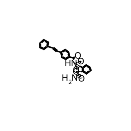 NS(=O)(=O)c1ccccc1S(=O)(=O)NC(=O)c1ccc(C#Cc2ccccc2)cc1